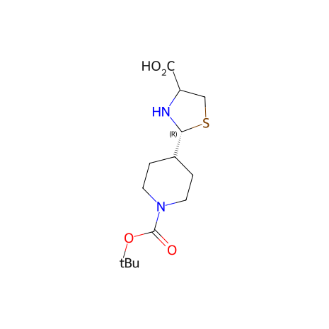 CC(C)(C)OC(=O)N1CCC([C@@H]2NC(C(=O)O)CS2)CC1